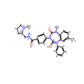 CCN1C(=O)N(c2ccc(C(=O)NC[C@H]3CCCN3CC)cc2)C(=O)N(c2ccccc2)c2cc(C(F)(F)F)ccc21